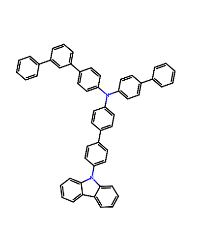 c1ccc(-c2ccc(N(c3ccc(-c4ccc(-n5c6ccccc6c6ccccc65)cc4)cc3)c3ccc(-c4cccc(-c5ccccc5)c4)cc3)cc2)cc1